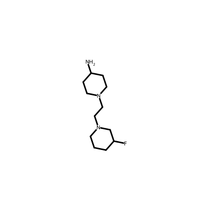 NC1CCN(CCN2CCCC(F)C2)CC1